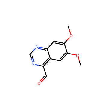 COc1cc2ncnc(C=O)c2cc1OC